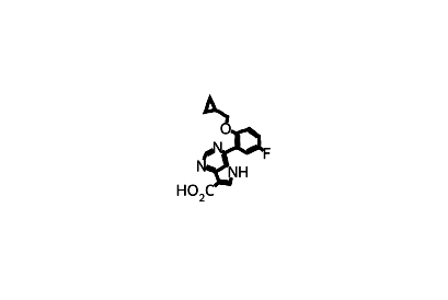 O=C(O)c1c[nH]c2c(-c3cc(F)ccc3OCC3CC3)ncnc12